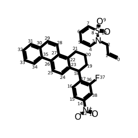 C=CCN1C=CC=CS1(=O)=O.O=[N+]([O-])c1ccc(C2CCCc3c2ccc2c3ccc3ccccc32)c(F)c1